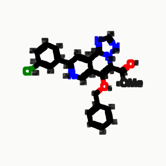 COC(=O)c1c(OCc2ccccc2)c2cnc(-c3cccc(Cl)c3)cc2c2ncnn12